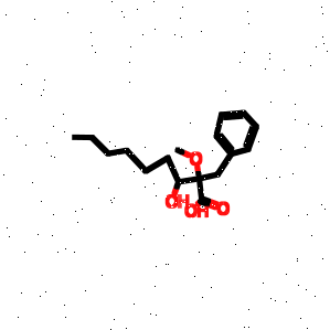 CCCCCCC(O)C(Cc1ccccc1)(OC)C(=O)O